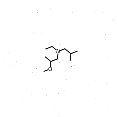 CCN(CC(C)C)CC(C)OC